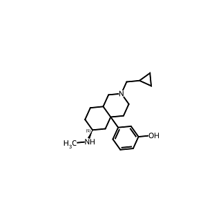 CN[C@H]1CCC2CN(CC3CC3)CCC2(c2cccc(O)c2)C1